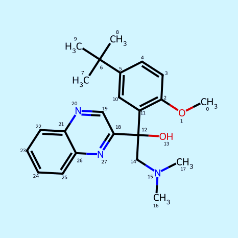 COc1ccc(C(C)(C)C)cc1C(O)(CN(C)C)c1cnc2ccccc2n1